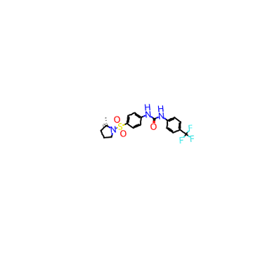 C[C@H]1CCCN1S(=O)(=O)c1ccc(NC(=O)Nc2ccc(C(F)(F)F)cc2)cc1